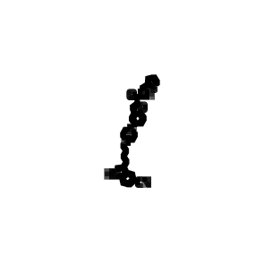 N#Cc1ccc2[nH]cc(CCCCN3CCN(c4ccc5oc(C(=O)NCc6cccs6)cc5c4)CC3)c2c1